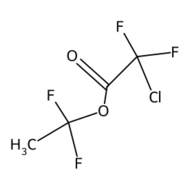 CC(F)(F)OC(=O)C(F)(F)Cl